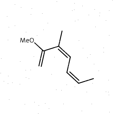 C=C(OC)/C(C)=C\C=C/C